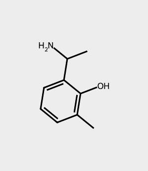 Cc1cccc(C(C)N)c1O